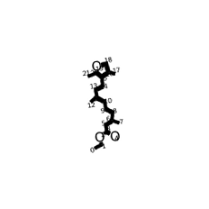 CCOC(=O)C=C(C)C=CC=C(C)C=Cc1c(C)coc1C